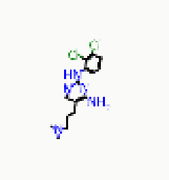 CN(C)CCCc1cnc(Nc2cccc(Cl)c2Cl)nc1N